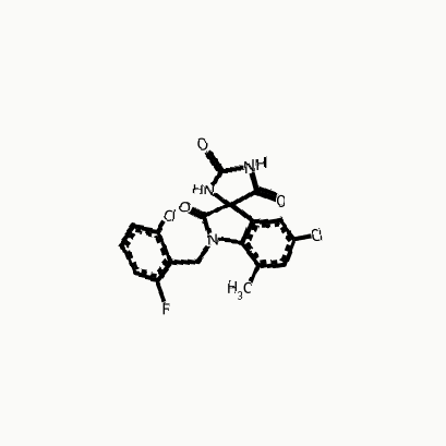 Cc1cc(Cl)cc2c1N(Cc1c(F)cccc1Cl)C(=O)C21NC(=O)NC1=O